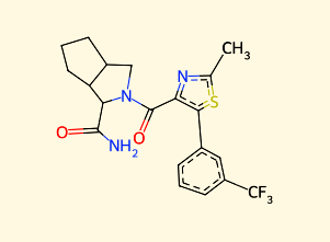 Cc1nc(C(=O)N2CC3CCCC3C2C(N)=O)c(-c2cccc(C(F)(F)F)c2)s1